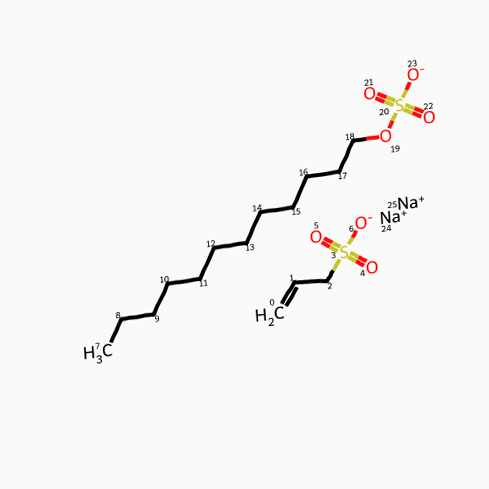 C=CCS(=O)(=O)[O-].CCCCCCCCCCCCOS(=O)(=O)[O-].[Na+].[Na+]